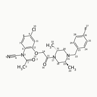 CC(=O)N(C#N)c1ccc(Cl)cc1OCC(=O)N1C[C@H](C)N(Cc2ccc(F)cc2)C[C@H]1C